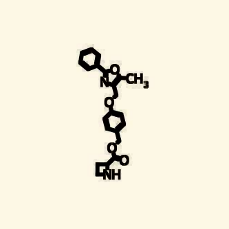 Cc1oc(-c2ccccc2)nc1COc1ccc(COC(=O)C2CCN2)cc1